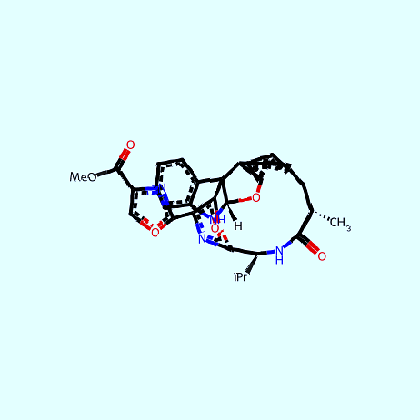 COC(=O)c1coc(-c2nc3oc2C24c5ccccc5N[C@H]2Oc2ccc(cc24)C[C@H](C)C(=O)N[C@H]3C(C)C)n1